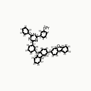 CCCc1cccc(-c2nc(-c3ccccc3)nc(-c3cccc(-n4c5ccccc5c5cc(-c6ccc7c(c6)oc6ccccc67)ccc54)c3)n2)c1